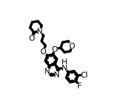 O=C1CCCCN1CCCOc1cc2ncnc(Nc3ccc(F)c(Cl)c3)c2cc1OC1CCOCC1